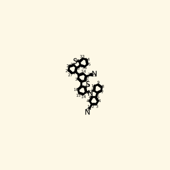 N#Cc1ccc2c3ccccc3n(-c3cccc4c3sc3c(C#N)cc(-c5cccc6sc7ccccc7c56)cc34)c2c1